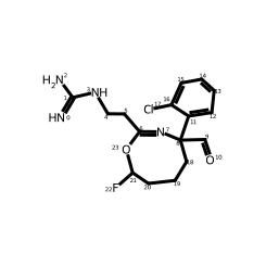 N=C(N)NCC/C1=N/C(C=O)(c2ccccc2Cl)CCCC(F)O1